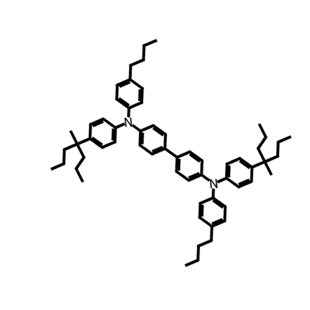 CCCCc1ccc(N(c2ccc(-c3ccc(N(c4ccc(CCCC)cc4)c4ccc(C(C)(CCC)CCC)cc4)cc3)cc2)c2ccc(C(C)(CCC)CCC)cc2)cc1